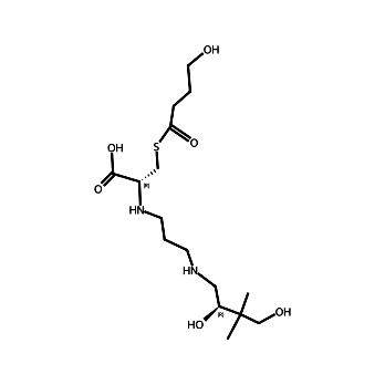 CC(C)(CO)[C@@H](O)CNCCCN[C@@H](CSC(=O)CCCO)C(=O)O